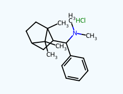 CN(C)C(c1ccccc1)C1CC2CCC1(C)C2(C)C.Cl